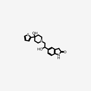 O=C1Cc2cc(C(O)CN3CCC(O)(c4cccs4)CC3)ccc2N1